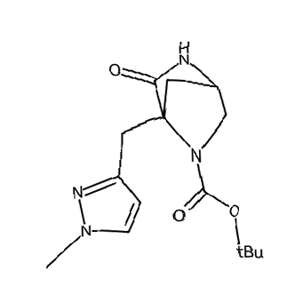 Cn1ccc(CC23CC(CN2C(=O)OC(C)(C)C)NC3=O)n1